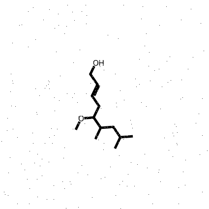 COC(C/C=C/CO)C(C)CC(C)C